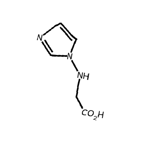 O=C(O)CNn1ccnc1